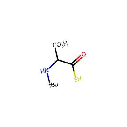 CC(C)(C)NC(C(=O)O)C(=O)S